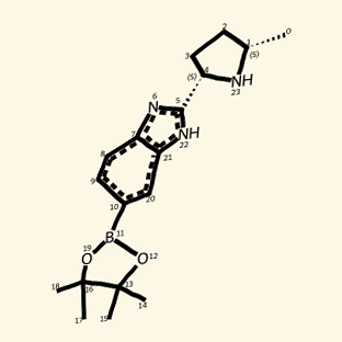 C[C@H]1CC[C@@H](c2nc3ccc(B4OC(C)(C)C(C)(C)O4)cc3[nH]2)N1